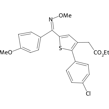 CCOC(=O)Cc1cc(C(=NOC)c2ccc(OC)cc2)sc1-c1ccc(Cl)cc1